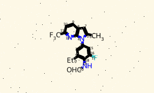 CCc1cc(-n2c(C)cc3ccc(C(F)(F)F)nc32)cc(F)c1NC=O